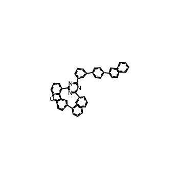 c1ccc(-c2ccc3oc4cccc(-c5nc(-c6ccccc6)nc(-c6cccc(-c7ccc(-c8ccc9ccccc9c8)cc7)c6)n5)c4c3c2)cc1